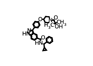 CC(C)(O)C(=O)N1CCC(Oc2ccc(-c3n[nH]c4ccc(C(=O)N[C@H](c5ccccc5)C5CC5)cc34)cc2)CC1